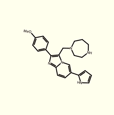 COc1ccc(-c2nc3ccc(-c4ccc[nH]4)cn3c2CN2CCCNCC2)cc1